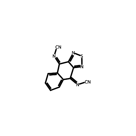 N#C/N=C1/c2ccccc2/C(=N/C#N)c2nsnc21